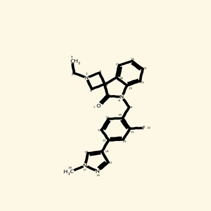 CCN1CC2(C1)C(=O)N(Cc1ccc(-c3cnn(C)c3)cc1F)c1ccccc12